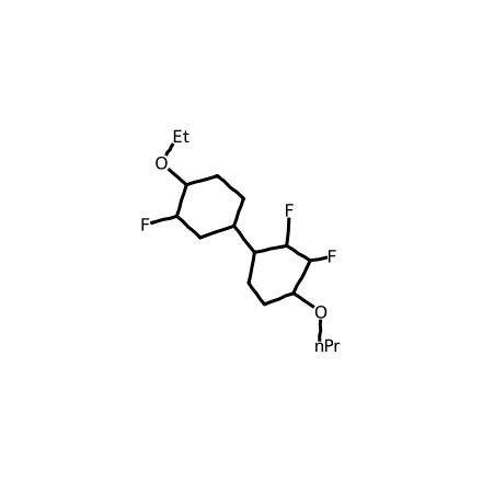 CCCOC1CCC(C2CCC(OCC)C(F)C2)C(F)C1F